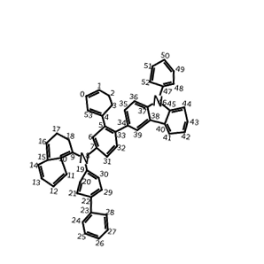 C1=CCCC(c2cc(N(C3=c4ccccc4=CCC3)c3ccc(-c4ccccc4)cc3)ccc2-c2ccc3c(c2)c2ccccc2n3-c2ccccc2)=C1